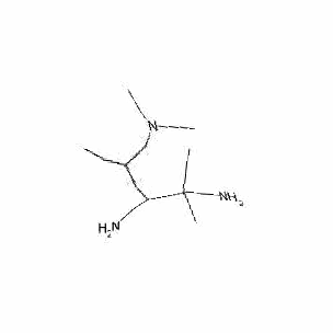 CC(C(N)C(C)(C)N)N(C)C